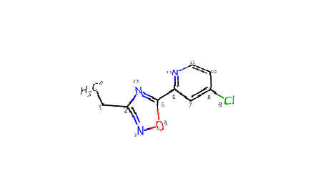 CCc1noc(-c2cc(Cl)ccn2)n1